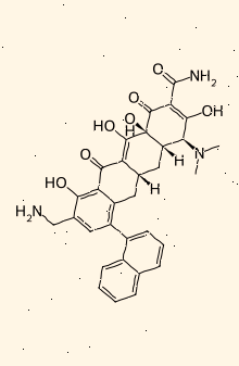 CN(C)[C@@H]1C(O)=C(C(N)=O)C(=O)[C@@]2(O)C(O)=C3C(=O)c4c(O)c(CN)cc(-c5cccc6ccccc56)c4C[C@H]3C[C@@H]12